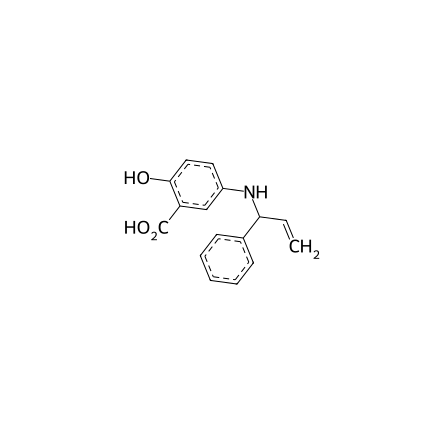 C=CC(Nc1ccc(O)c(C(=O)O)c1)c1ccccc1